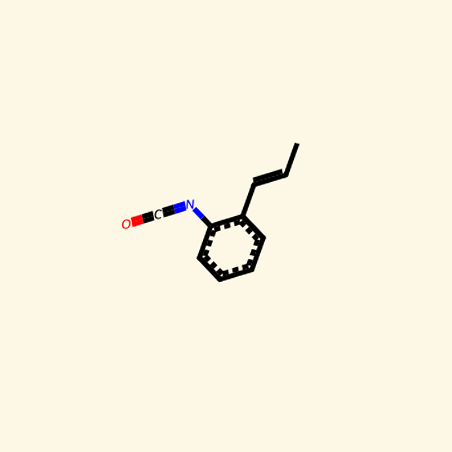 CC=Cc1ccccc1N=C=O